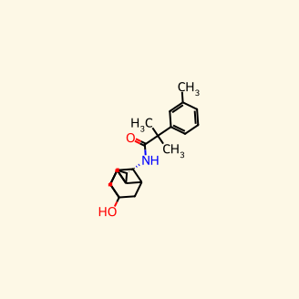 Cc1cccc(C(C)(C)C(=O)N[C@H]2C3CC4(O)CC5CC(C4)C532)c1